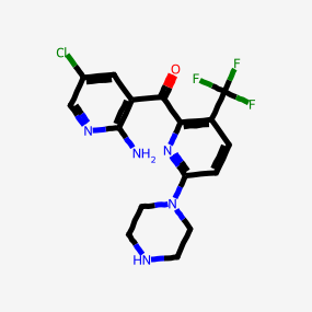 Nc1ncc(Cl)cc1C(=O)c1nc(N2CCNCC2)ccc1C(F)(F)F